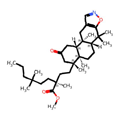 CCCC(C)(C)CC[C@@](C)(CC[C@]1(C)CC(=O)C[C@@H]2[C@@]3(C)Cc4cnoc4C(C)(C)[C@@H]3CC[C@]21C)C(=O)OC